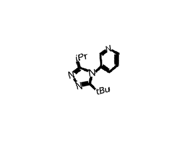 CC(C)c1nnc(C(C)(C)C)n1-c1cccnc1